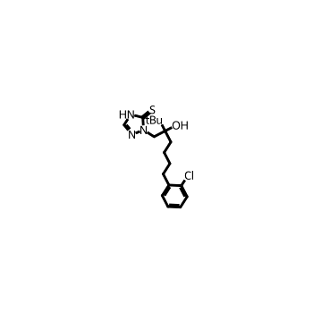 CC(C)(C)C(O)(CCCCc1ccccc1Cl)Cn1nc[nH]c1=S